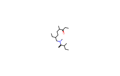 C=C(C(C)CC)N(C)CC(CC)CCC(C)C(=O)CC